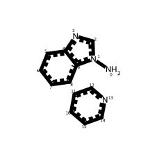 Nn1cnc2ccccc21.c1ccncc1